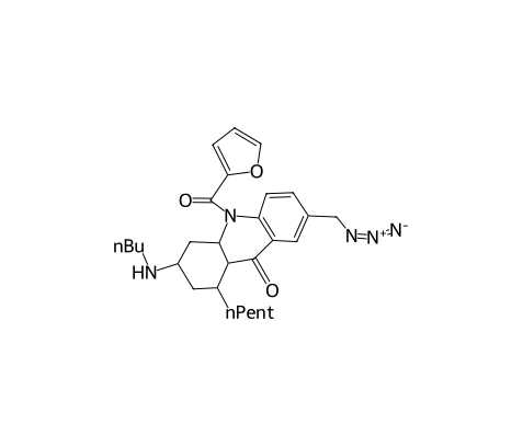 CCCCCC1CC(NCCCC)CC2C1C(=O)c1cc(CN=[N+]=[N-])ccc1N2C(=O)c1ccco1